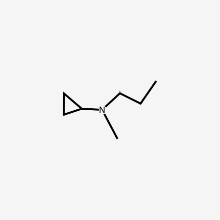 CC[CH]N(C)C1CC1